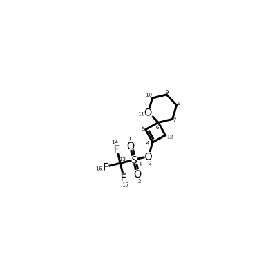 O=S(=O)(OC1=CC2(CCCCO2)C1)C(F)(F)F